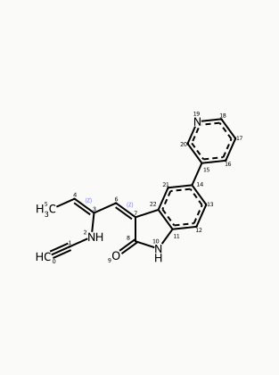 C#CNC(=C\C)/C=C1\C(=O)Nc2ccc(-c3cccnc3)cc21